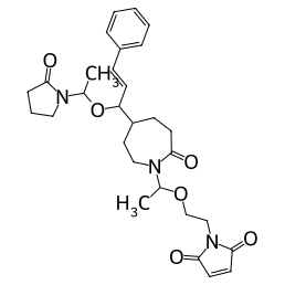 CC(OCCN1C(=O)C=CC1=O)N1CCC(C(/C=C/c2ccccc2)OC(C)N2CCCC2=O)CCC1=O